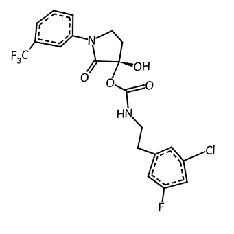 O=C(NCCc1cc(F)cc(Cl)c1)O[C@@]1(O)CCN(c2cccc(C(F)(F)F)c2)C1=O